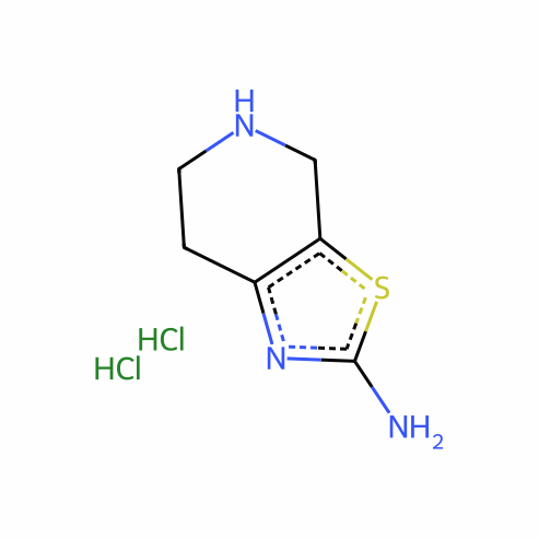 Cl.Cl.Nc1nc2c(s1)CNCC2